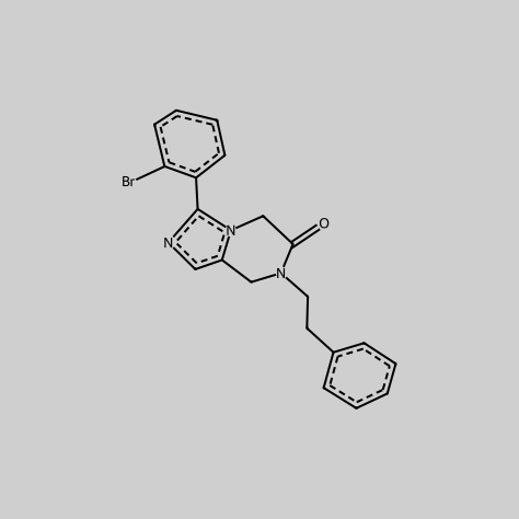 O=C1Cn2c(cnc2-c2ccccc2Br)CN1CCc1ccccc1